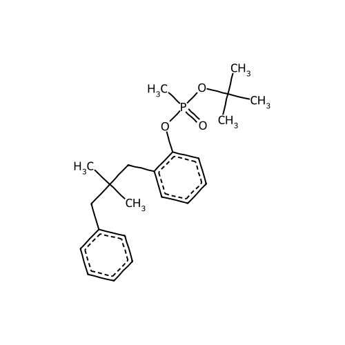 CC(C)(Cc1ccccc1)Cc1ccccc1OP(C)(=O)OC(C)(C)C